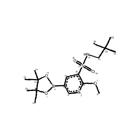 COc1ncc(B2OC(C)(C)C(C)(C)O2)cc1S(=O)(=O)NCC(C)(C)C